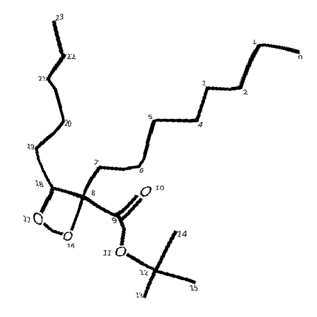 CCCCCCCCC1(C(=O)OC(C)(C)C)OOC1CCCCC